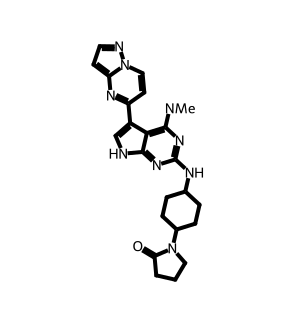 CNc1nc(NC2CCC(N3CCCC3=O)CC2)nc2[nH]cc(-c3ccn4nccc4n3)c12